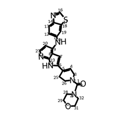 O=C(N1CC=C(c2cc3c(Nc4ccc5ncsc5c4)ccnc3[nH]2)CC1)N1CCOCC1